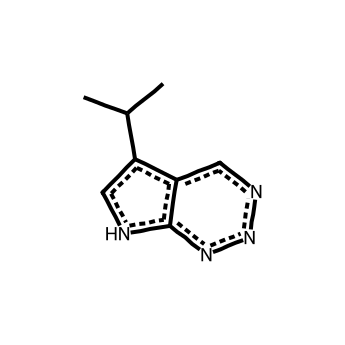 CC(C)c1c[nH]c2nnncc12